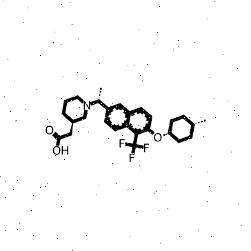 C[C@H](c1ccc2c(C(F)(F)F)c(O[C@H]3CC[C@@H](C)CC3)ccc2c1)N1CCC[C@H](CC(=O)O)C1